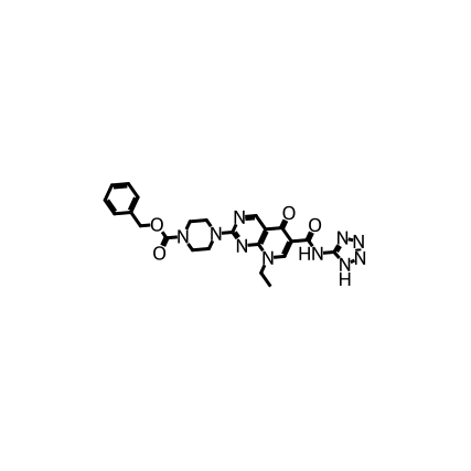 CCn1cc(C(=O)Nc2nnn[nH]2)c(=O)c2cnc(N3CCN(C(=O)OCc4ccccc4)CC3)nc21